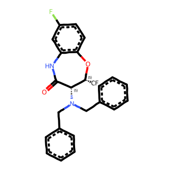 O=C1Nc2cc(F)ccc2O[C@H](C(F)(F)F)[C@@H]1N(Cc1ccccc1)Cc1ccccc1